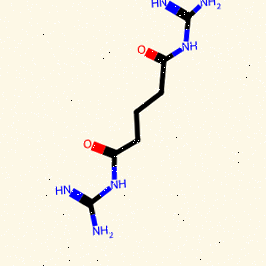 N=C(N)NC(=O)CCCC(=O)NC(=N)N